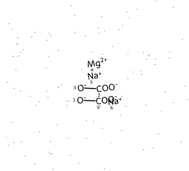 O=C([O-])[O-].O=C([O-])[O-].[Mg+2].[Na+].[Na+]